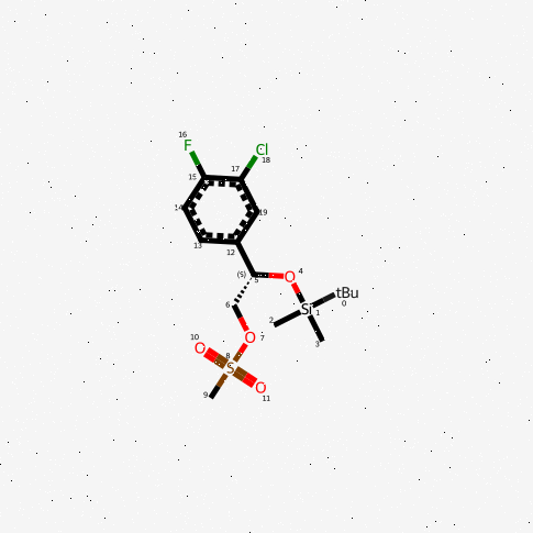 CC(C)(C)[Si](C)(C)O[C@H](COS(C)(=O)=O)c1ccc(F)c(Cl)c1